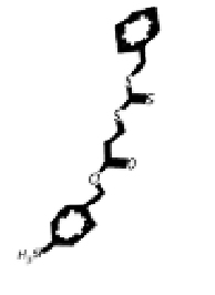 O=C(CCSC(=S)SCc1ccccc1)OCc1ccc([SiH3])cc1